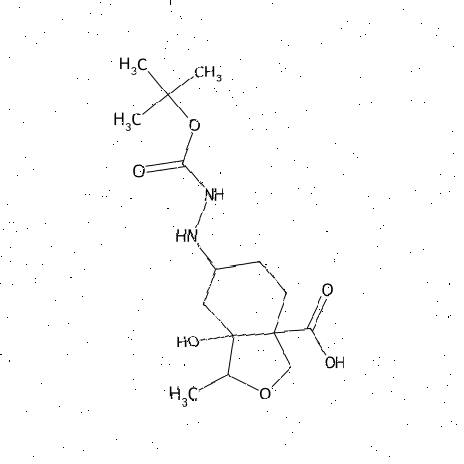 CC1OCC2(C(=O)O)CCC(NNC(=O)OC(C)(C)C)CC12O